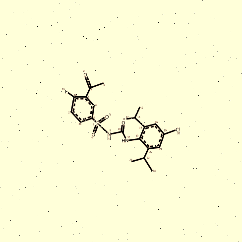 CC(=O)c1cc(S(=O)(=O)NC(=O)Nc2c(C(C)C)cc(Cl)cc2C(C)C)ccc1F